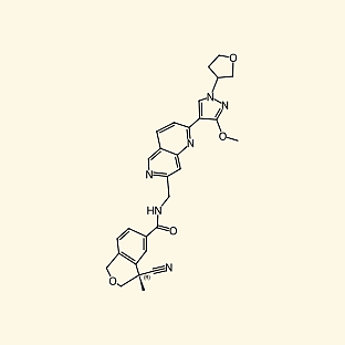 COc1nn(C2CCOC2)cc1-c1ccc2cnc(CNC(=O)c3ccc4c(c3)[C@](C)(C#N)COC4)cc2n1